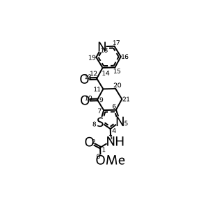 COC(=O)Nc1nc2c(s1)C(=O)C(C(=O)c1cccnc1)CC2